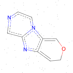 C1=c2nc3cnccn3c2=COC1